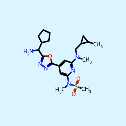 CC1CC1CN(C)c1cc(-c2nnc(C(N)C3CCCC3)o2)cc(N(C)S(C)(=O)=O)n1